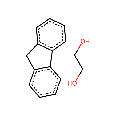 OCCO.c1ccc2c(c1)Cc1ccccc1-2